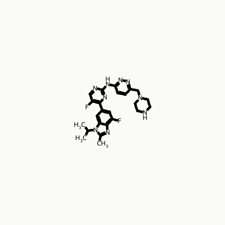 Cc1nc2c(F)cc(-c3nc(Nc4ccc(CN5CCNCC5)nn4)ncc3F)cc2n1C(C)C